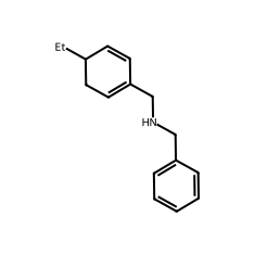 CCC1C=CC(CNCc2ccccc2)=CC1